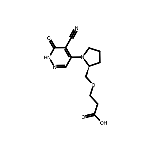 N#Cc1c(N2CCC[C@H]2COCCC(=O)O)cn[nH]c1=O